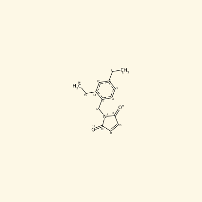 CCc1ccc(CN2C(=O)C=CC2=O)c(CC)c1